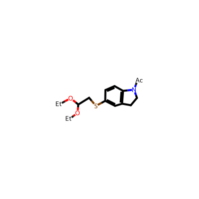 CCOC(CSc1ccc2c(c1)CCN2C(C)=O)OCC